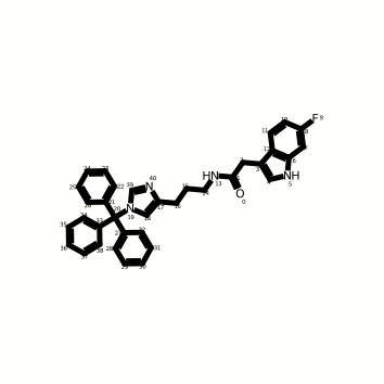 O=C(Cc1c[nH]c2cc(F)ccc12)NCCCc1cn(C(c2ccccc2)(c2ccccc2)c2ccccc2)cn1